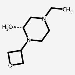 CCN1CCN(C2COC2)[C@H](C)C1